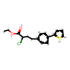 CCOC(=O)C(Cl)CCc1ccc(-c2cccs2)cc1